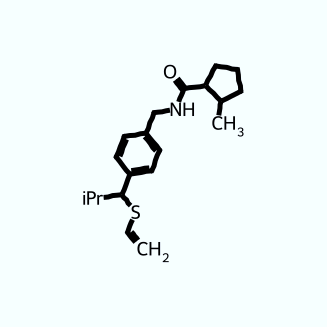 C=CSC(c1ccc(CNC(=O)C2CCCC2C)cc1)C(C)C